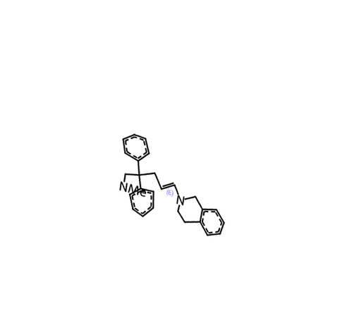 CNCC(C/C=C/N1CCc2ccccc2C1)(c1ccccc1)c1ccccc1